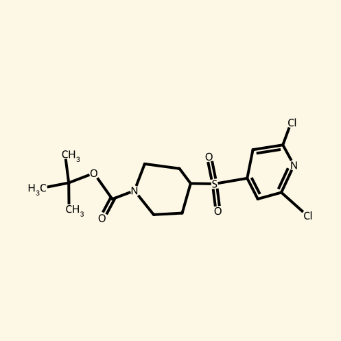 CC(C)(C)OC(=O)N1CCC(S(=O)(=O)c2cc(Cl)nc(Cl)c2)CC1